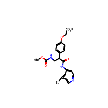 CCC1=C\C(NC(=O)C(CNC(=O)OC(C)(C)C)c2ccc(OCC(=O)O)cc2)=C/C=N\C=C\1